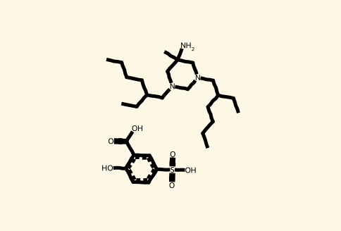 CCCCC(CC)CN1CN(CC(CC)CCCC)CC(C)(N)C1.O=C(O)c1cc(S(=O)(=O)O)ccc1O